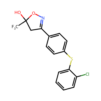 OC1(C(F)(F)F)CC(c2ccc(Sc3ccccc3Cl)cc2)=NO1